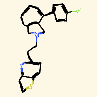 Fc1ccc(-c2cccc3c2CN(CCc2ccc4sccc4n2)C3)cc1